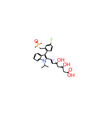 CC(C)n1c(/C=C/[C@@H](O)C[C@@H](O)CC(=O)O)c(-c2ccc(F)cc2CP(C)(C)=O)c2ccccc21